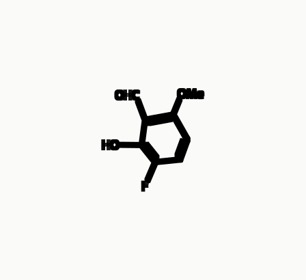 COc1ccc(F)c(O)c1C=O